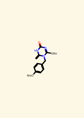 C=C1NC(=O)N=C(SC)N1Cc1ccc(OC)cc1